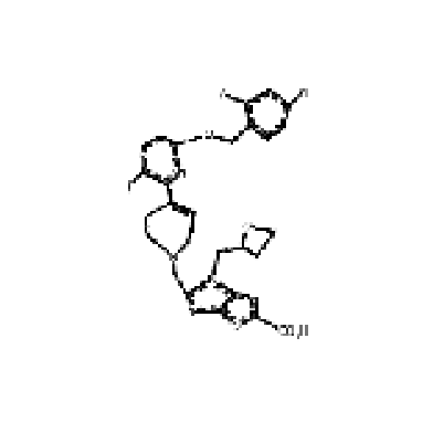 O=C(O)c1cc2c(nc(CN3CC=C(c4nc(OCc5ccc(Cl)cc5F)ccc4F)CC3)n2CC2CCO2)o1